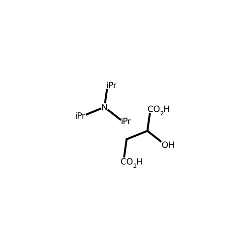 CC(C)N(C(C)C)C(C)C.O=C(O)CC(O)C(=O)O